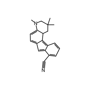 CN1CC(C)(C)CC2C1=CC=C1C=c3c(C#N)cccc3=C12